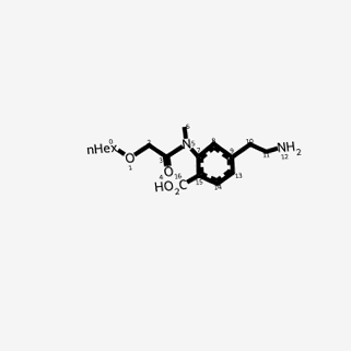 CCCCCCOCC(=O)N(C)c1cc(CCN)ccc1C(=O)O